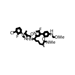 CNC(=O)[C@@H](C)CCCC(NC(=O)c1ncn(-c2cccc(Cl)c2F)c1C)c1cc(-c2ccc(NCOC)cc2)c(F)cn1